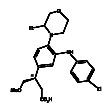 CCC1COCCN1c1ccc([C@H](COC)CC(=O)O)cc1Nc1ccc(Cl)cc1